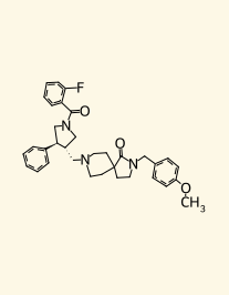 COc1ccc(CN2CCC3(CCN(C[C@H]4CN(C(=O)c5ccccc5F)C[C@@H]4c4ccccc4)CC3)C2=O)cc1